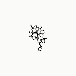 CC(=O)O[C@H]1[C@H](OC(C)=O)[C@H](OCC=O)O[C@@H](C)[C@H]1OC(C)=O